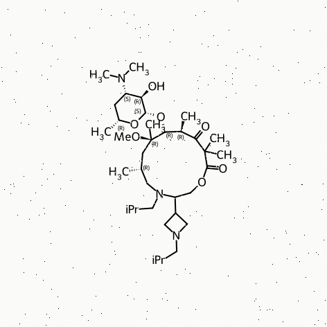 CO[C@]1(C)C[C@@H](C)CN(CC(C)C)C(C2CN(CC(C)C)C2)COC(=O)C(C)(C)C(=O)[C@H](C)[C@H]1O[C@@H]1O[C@H](C)C[C@H](N(C)C)[C@H]1O